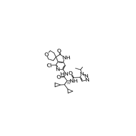 CC(C)n1nncc1C(=O)N[C@H](C(=O)Nc1cc2c(c(Cl)n1)C1(CCOCC1)C(=O)N2)C(C1CC1)C1CC1